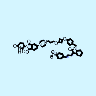 O=C1CCC(N2C(=O)c3ccc(N4CCN(CCCOC5CC(Oc6ccc(CN7C(=O)/C(=C\C=C\c8ccc([N+](=O)[O-])cc8)c8ccccc87)cc6)C5)CC4)cc3C2=O)C(=O)N1